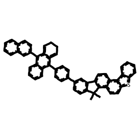 CC1(C)c2ccc(-c3ccc(-c4c5c(c(-c6ccc7ccccc7c6)c6ccccc46)=CCCC=5)cc3)cc2-c2ccc3c(ccc4sc5ccccc5c43)c21